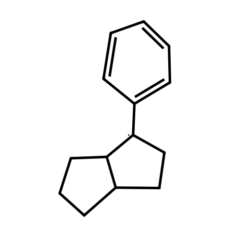 c1ccc([C]2CCC3CCCC23)cc1